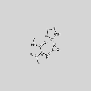 CNC(=O)[C@@H](NC1OC1[C@@H]1CCCN1)C(C)C